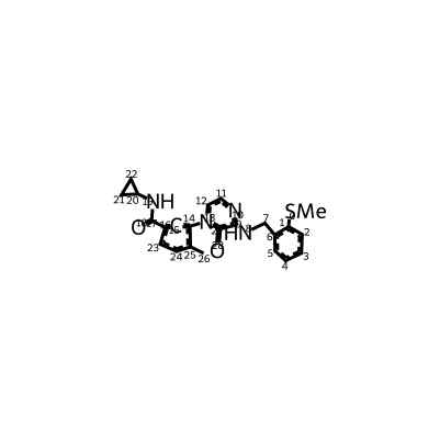 CSc1ccccc1CNc1nccn(-c2cc(C(=O)NC3CC3)ccc2C)c1=O